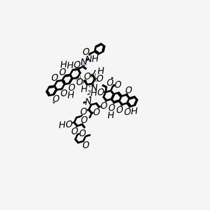 CCC1(O)CC(OC2CC(N(C)C)C(OC3CC(O)C(OC4CCC(=O)C(C)O4)C(C)O3)C(C)O2)c2c(cc3c(c2O)C(=O)c2c(O)cccc2C3=O)C1C(=O)OC.COc1cccc2c1C(=O)c1c(O)c3c(c(O)c1C2=O)C[C@@](O)(/C(C)=N/NC(=O)c1ccccc1)C[C@@H]3O[C@H]1C[C@H](N)[C@H](O)[C@H](C)O1